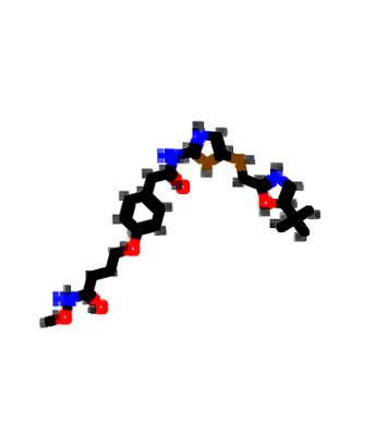 CONC(=O)CCCOc1ccc(CC(=O)Nc2ncc(SCc3ncc(C(C)(C)C)o3)s2)cc1